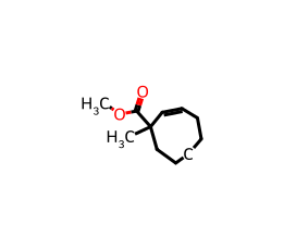 COC(=O)C1(C)/C=C\CCCCC1